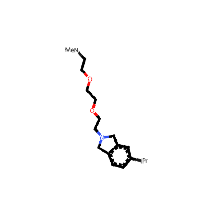 CNCCOCCOCCN1Cc2ccc(C(C)C)cc2C1